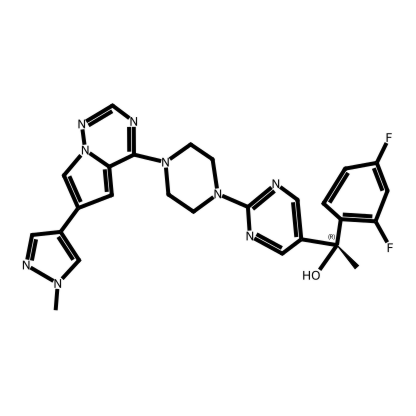 Cn1cc(-c2cc3c(N4CCN(c5ncc([C@@](C)(O)c6ccc(F)cc6F)cn5)CC4)ncnn3c2)cn1